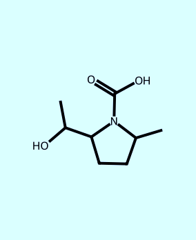 CC(O)C1CCC(C)N1C(=O)O